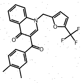 Cc1ccc(C(=O)c2cn(Cc3ccc(C(F)(F)F)o3)c3ccccc3c2=O)cc1C